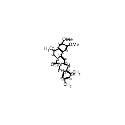 COc1cc2c(cc1OC)C(C)Cn1c-2cc(=Nc2ccc(C)cc2C)n(C)c1=O